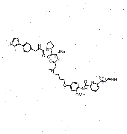 COc1cc(OCCCCN(C)CC(=O)N[C@H](C(=O)N2CCC[C@H]2C(=O)NCc2ccc(-c3scnc3C)cc2)C(C)(C)C)ccc1NC(=O)c1cccc(/C(N)=C/C=N)n1